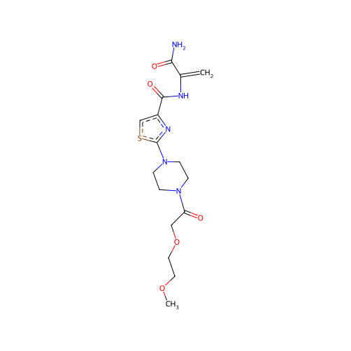 C=C(NC(=O)c1csc(N2CCN(C(=O)COCCOC)CC2)n1)C(N)=O